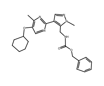 Cc1nc(-c2cnn(C)c2CNC(=O)OCc2ccccc2)ncc1OC1CCCCC1